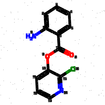 Nc1ccccc1C(=O)Oc1cccnc1Cl